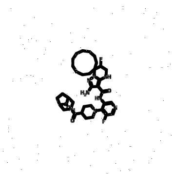 CN1C2CCC1CN(C(=O)C1CCN(c3c(F)cncc3NC(=O)c3c(N)nn4c3NCC(F)C43CCCCCCCCCC3)CC1)C2